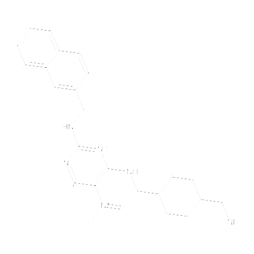 NCC1CCC(CNc2nc(NCc3ccc4ccccc4c3)ncc2[N+](=O)[O-])CC1